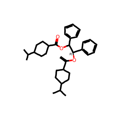 C=C(O[C@H](c1ccccc1)C(OC(=O)C1CCC(C(C)C)CC1)c1ccccc1)C1CCC(C(C)C)CC1